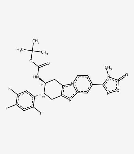 Cn1c(-c2ccn3c4c(nc3c2)C[C@H](c2cc(F)c(F)cc2F)[C@@H](NC(=O)OC(C)(C)C)C4)noc1=O